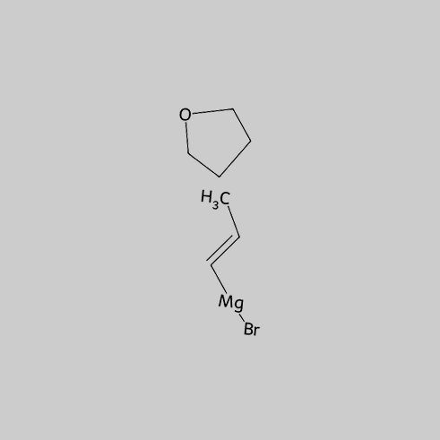 C1CCOC1.CC=[CH][Mg][Br]